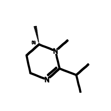 CC(C)C1=NCC[C@H](C)N1C